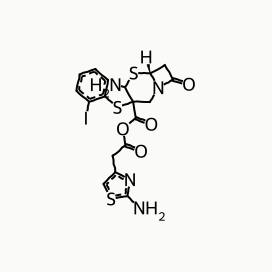 Nc1nc(CC(=O)OC(=O)C2(Sc3ccccc3I)CN3C(=O)C[C@H]3SC2N)cs1